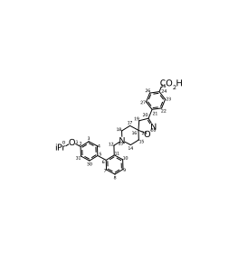 CC(C)Oc1ccc(-c2ccccc2CN2CCC3(CC2)CC(c2ccc(C(=O)O)cc2)=NO3)cc1